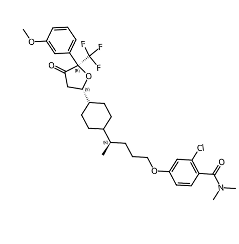 COc1cccc([C@@]2(C(F)(F)F)O[C@H](C3CCC([C@H](C)CCCOc4ccc(C(=O)N(C)C)c(Cl)c4)CC3)CC2=O)c1